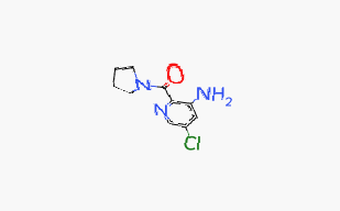 Nc1cc(Cl)cnc1C(=O)N1CCCC1